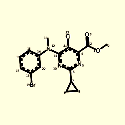 COC(=O)c1nc(C2CC2)nc(N(C)c2cccc(Br)c2)c1Cl